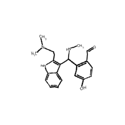 CNC(c1cc(O)ccc1C=O)c1c(CN(C)C)[nH]c2ccccc12